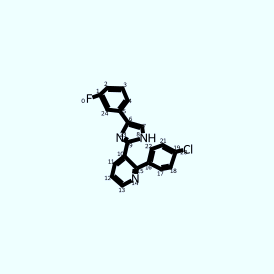 Fc1cccc(-c2c[nH]c(-c3cccnc3-c3ccc(Cl)cc3)n2)c1